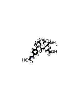 CC(C)C[C@@H](C(N)=O)N(C(=O)c1ccc(/C=C/C(=O)O)cc1)C(=O)[C@H](CCC(=O)O)NC(=O)CN